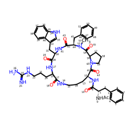 CC(=O)N[C@@H](Cc1ccccc1)C(=O)N[C@H]1CCCNC(=O)C(CCCNC(=N)N)NC(=O)C(Cc2c[nH]c3ccccc23)NC(=O)[C@@H](Cc2ccccc2)N(C)C(=O)C2CCCN2C1=O